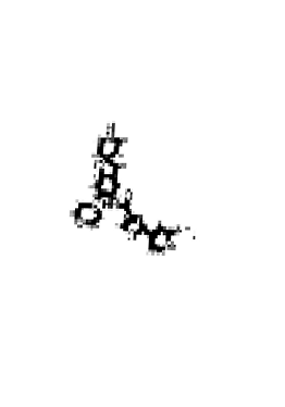 Nc1cc(-c2nc(C(=O)Nc3cc4c(cc3N3CCOCC3)OC3(CCNCC3)C4)co2)ccn1